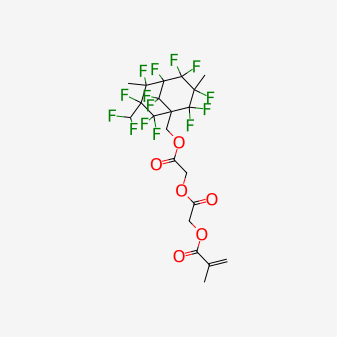 C=C(C)C(=O)OCC(=O)OCC(=O)OCC12C(F)(F)C(C)(F)C(F)(F)C(F)(C(C)(F)C(F)(C(F)F)C1(F)F)C2(F)F